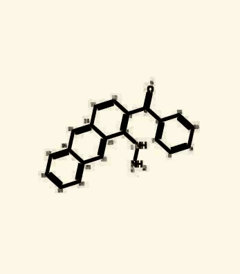 NNc1c(C(=O)c2ccccc2)ccc2cc3ccccc3cc12